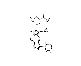 COC(C)N(CCc1c(C)[nH]c(C=C2C(=O)NN=C2c2nccnn2)c1C1CC1)C(C)OC